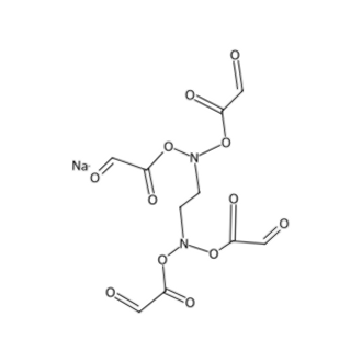 O=CC(=O)ON(CCN(OC(=O)C=O)OC(=O)C=O)OC(=O)C=O.[Na]